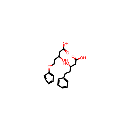 O=C(O)CC(O)CCOc1ccccc1.O=C(O)CC(O)CCc1ccccc1